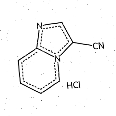 Cl.N#Cc1cnc2ccccn12